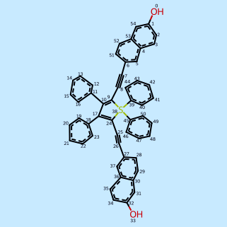 Oc1ccc2cc(C#CC3=C(c4ccccc4)C(c4ccccc4)=C(C#Cc4ccc5cc(O)ccc5c4)S3(c3ccccc3)c3ccccc3)ccc2c1